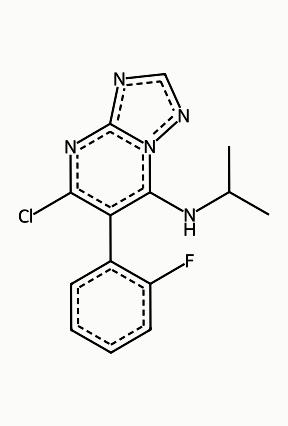 CC(C)Nc1c(-c2ccccc2F)c(Cl)nc2ncnn12